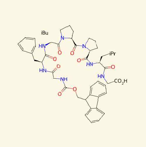 CC[C@H](C)[C@H](NC(=O)[C@H](Cc1ccccc1)NC(=O)CNC(=O)OCC1c2ccccc2-c2ccccc21)C(=O)N1CCC[C@H]1C(=O)N1CCC[C@H]1C(=O)N[C@@H](CC(C)C)C(=O)NCC(=O)O